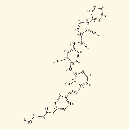 COCCNCc1ccc(-c2cc3nccc(Oc4ccc(NC(=O)n5ccn(-c6ccccc6)c5=S)cc4F)c3s2)nc1